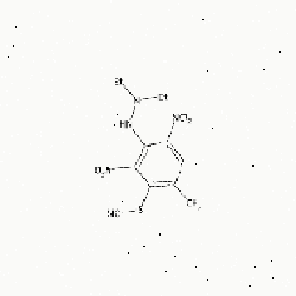 CCN(CC)Nc1c([N+](=O)[O-])cc(C(F)(F)F)c(SC#N)c1[N+](=O)[O-]